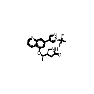 C[C@@H](Oc1cc(-c2cnn(C(C)(F)F)c2)cc2ncccc12)[C@H]1CNC(=O)C1